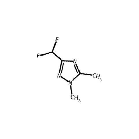 Cc1nc(C(F)F)nn1C